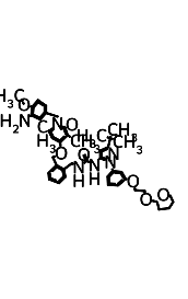 COc1ccc(Cn2c(C)cc(OCc3ccccc3CNC(=O)Nc3cc(C(C)(C)C)nn3-c3cccc(OCCOC4CCCCO4)c3)c(C)c2=O)cc1N